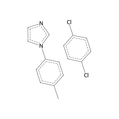 Cc1ccc(-n2ccnc2)cc1.Clc1ccc(Cl)cc1